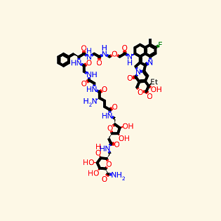 CC[C@@]1(O)C(=O)OCc2c1cc1n(c2=O)Cc2c-1nc1cc(F)c(C)c3c1c2[C@@H](NC(=O)COCNC(=O)CNC(=O)[C@H](Cc1ccccc1)NC(=O)CNC(=O)CNC(=O)[C@@H](N)CCC(=O)NC[C@H]1O[C@@H](CC(=O)NC[C@@H]2O[C@H](C(N)=O)[C@@H](O)[C@H](O)[C@H]2O)[C@H](O)[C@@H]1O)CC3